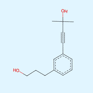 CC(C)(O)C#Cc1cccc(CCCO)c1